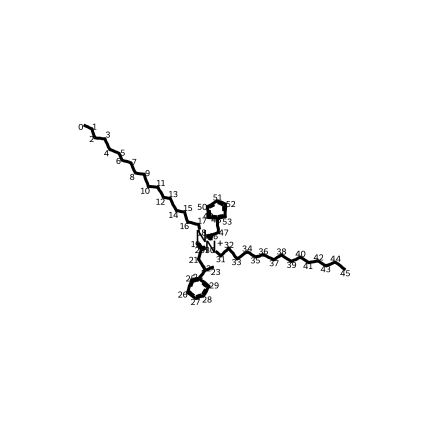 CCCCCCCCCCCCCCCCCCn1cc(CC(C)c2ccccc2)[n+](CCCCCCCCCCCCCCC)c1Cc1ccccc1